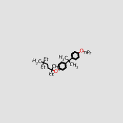 CCCOc1ccc(C(C)(C)c2ccc(OC(C)(CC)CCC(C)(CC)CC)cc2)cc1